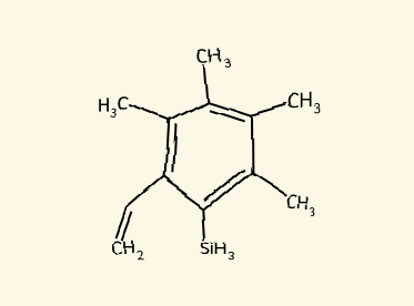 C=Cc1c(C)c(C)c(C)c(C)c1[SiH3]